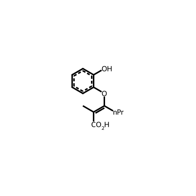 CCCC(Oc1ccccc1O)=C(C)C(=O)O